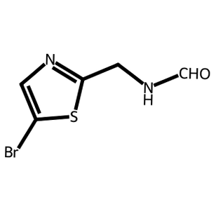 O=CNCc1ncc(Br)s1